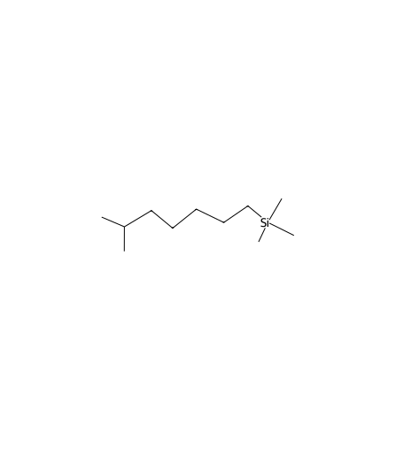 CC(C)CCCCC[Si](C)(C)C